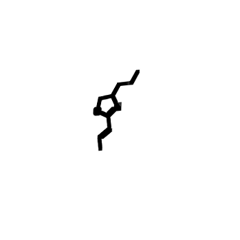 CC=CC1=NC(CCC)CO1